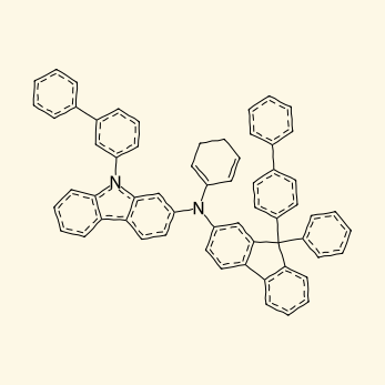 C1=CC(N(c2ccc3c(c2)C(c2ccccc2)(c2ccc(-c4ccccc4)cc2)c2ccccc2-3)c2ccc3c4ccccc4n(-c4cccc(-c5ccccc5)c4)c3c2)=CCC1